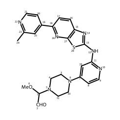 COC(C=O)N1CCN(c2ccnc(Nc3nc4ccc(-c5ccnc(C)c5)nc4s3)c2)CC1